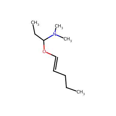 CCCC=COC(CC)N(C)C